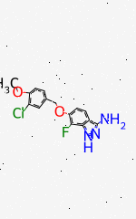 COc1ccc(COc2ccc3c(N)n[nH]c3c2F)cc1Cl